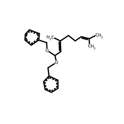 CC(C)=CCC/C(C)=C/C(OCc1ccccc1)OCc1ccccc1